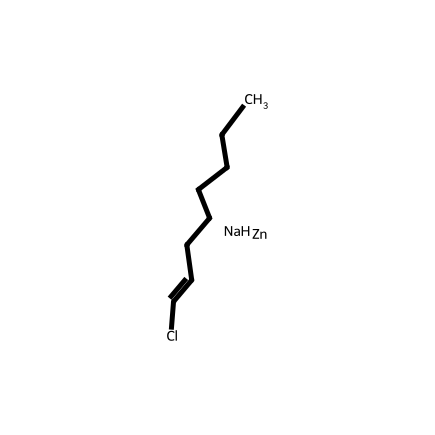 CCCCCC/C=C/Cl.[NaH].[Zn]